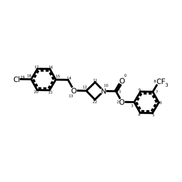 O=C(Oc1cccc(C(F)(F)F)c1)N1CC(OCc2ccc(Cl)cc2)C1